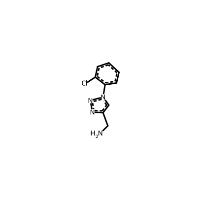 NCc1cn(-c2ccccc2Cl)nn1